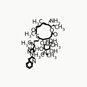 CC[C@H]1OC(=O)C[C@@H](O)[C@H](C)[C@@H](O[C@@H]2O[C@H](C)[C@@H](O)C(N(C)C)C2O)[C@@H](CCN(C)Cc2cn(-c3cnc4ccccc4c3)nn2)C[C@@H](C)C(=O)/C=C/C(C)=C/[C@@H]1CN